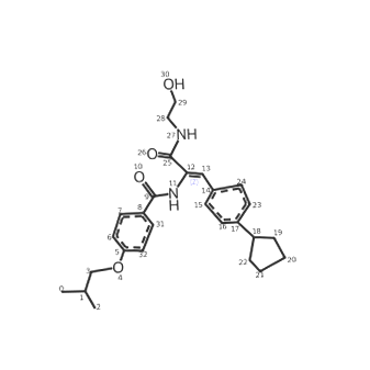 CC(C)COc1ccc(C(=O)N/C(=C\c2ccc(C3CCCC3)cc2)C(=O)NCCO)cc1